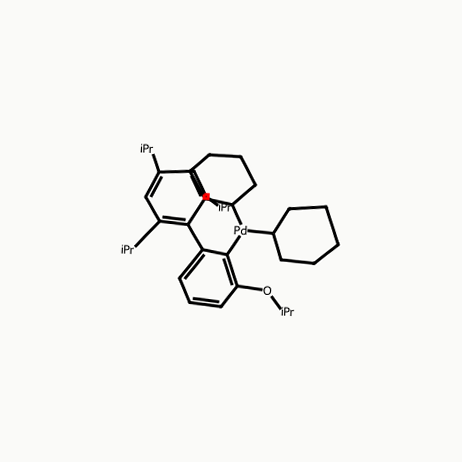 CC(C)Oc1cccc(-c2c(C(C)C)cc(C(C)C)cc2C(C)C)[c]1[Pd]([CH]1CCCCC1)[CH]1CCCCC1